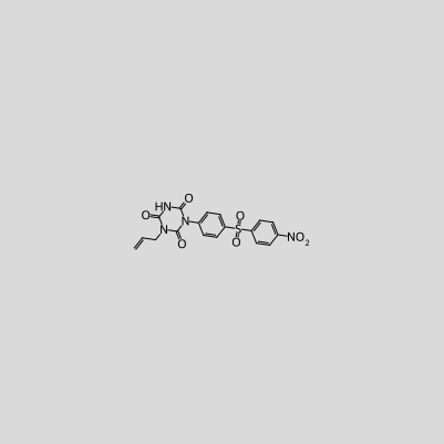 C=CCn1c(=O)[nH]c(=O)n(-c2ccc(S(=O)(=O)c3ccc([N+](=O)[O-])cc3)cc2)c1=O